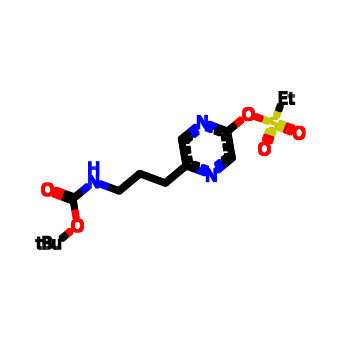 CCS(=O)(=O)Oc1cnc(CCCNC(=O)OC(C)(C)C)cn1